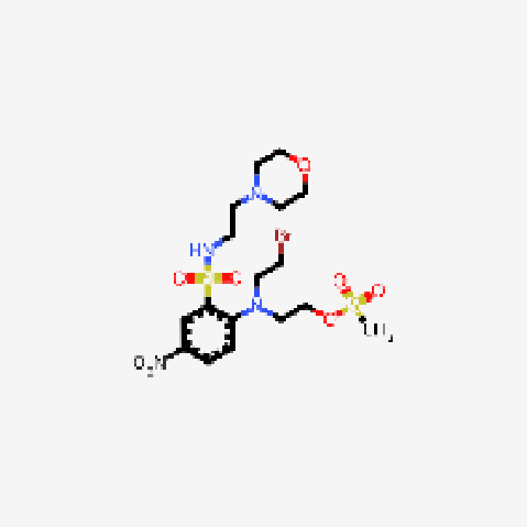 CS(=O)(=O)OCCN(CCBr)c1ccc([N+](=O)[O-])cc1S(=O)(=O)NCCN1CCOCC1